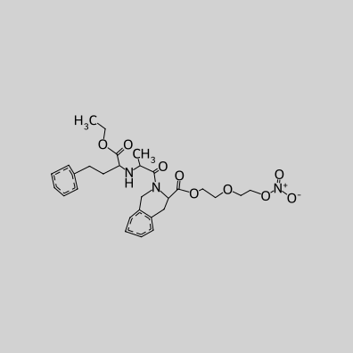 CCOC(=O)C(CCc1ccccc1)NC(C)C(=O)N1Cc2ccccc2CC1C(=O)OCCOCCO[N+](=O)[O-]